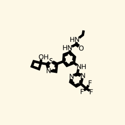 CCNC(=O)Nc1cc(Nc2nccc(C(F)(F)F)n2)cc(-c2cnc(C3(O)CCC3)s2)c1